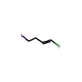 FC=CCCI